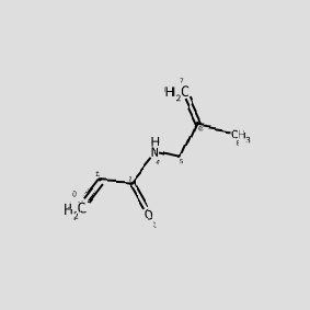 C=CC(=O)NCC(=C)C